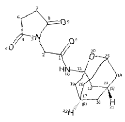 O=C(CN1C(=O)CCC1=O)NC12C[C@@H]3CC(C[C@@H](C3)C1)O2